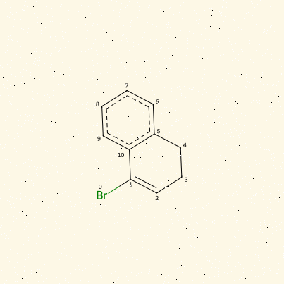 BrC1=CCCc2ccccc21